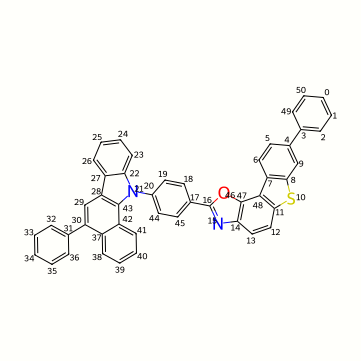 c1ccc(-c2ccc3c(c2)sc2ccc4nc(-c5ccc(-n6c7ccccc7c7cc(-c8ccccc8)c8ccccc8c76)cc5)oc4c23)cc1